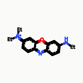 CCNc1ccc2nc3ccc(=[N+](CC)CC)cc-3oc2c1